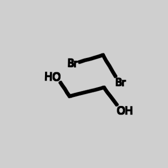 BrCBr.OCCO